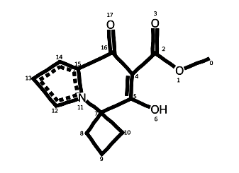 COC(=O)C1=C(O)C2(CCC2)n2cccc2C1=O